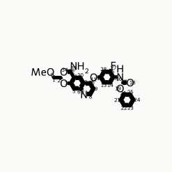 COCCOc1cc2nccc(Oc3ccc(NC(=O)Oc4ccccc4)c(F)c3)c2cc1C(N)=O